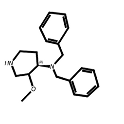 COC1CNCC[C@H]1N(Cc1ccccc1)Cc1ccccc1